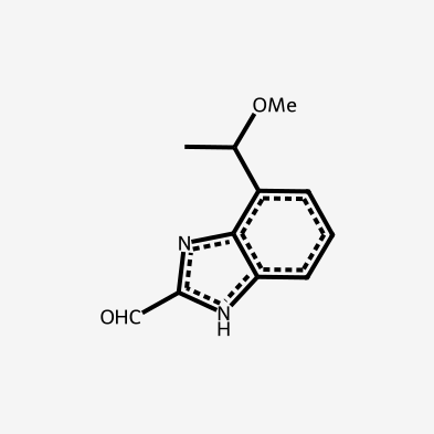 COC(C)c1cccc2[nH]c(C=O)nc12